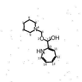 OC(OCN1CCCCC1)C1=CC=CC=CN1